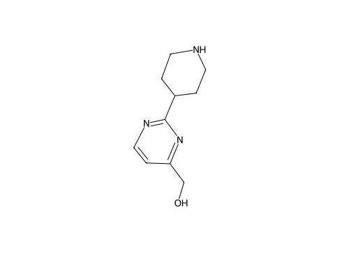 OCc1ccnc(C2CCNCC2)n1